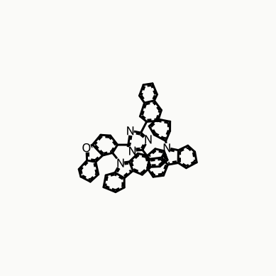 c1ccc(-n2c3ccccc3c3cccc(-c4nc(-c5ccc6ccccc6c5)nc(-c5ccc6oc7ccccc7c6c5-n5c6ccccc6c6cc7ccccc7cc65)n4)c32)cc1